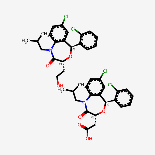 CC(C)CN1C(=O)[C@@H](CC(=O)O)O[C@H](c2ccccc2Cl)c2cc(Cl)ccc21.CC(C)CN1C(=O)[C@@H](CCO)O[C@H](c2ccccc2Cl)c2cc(Cl)ccc21